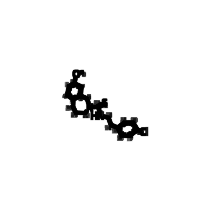 COc1ccc2c(c1)CN(C(=S)NCCc1ccc(Cl)cc1)CCC2